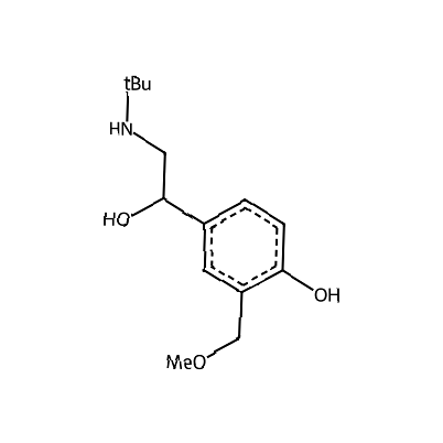 COCc1cc(C(O)CNC(C)(C)C)ccc1O